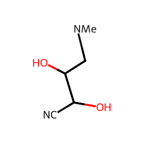 CNCC(O)C(O)C#N